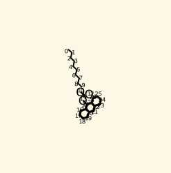 CCCCCCCCCCOC(=O)Oc1c2ccccc2cc2ccccc12